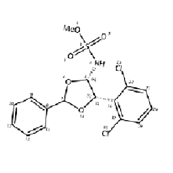 COS(=O)(=O)N[C@H]1OC(c2ccccc2)O[C@H]1c1c(Cl)cccc1Cl